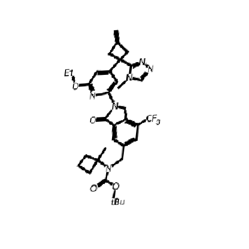 C=C1CC(c2cc(OCC)nc(N3Cc4c(cc(CN(C(=O)OC(C)(C)C)C5(C)CCC5)cc4C(F)(F)F)C3=O)c2)(c2nncn2C)C1